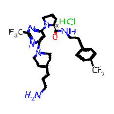 Cl.NCCCC1CCN(c2cc(N3CCC[C@H]3C(=O)NCCc3ccc(C(F)(F)F)cc3)nc(C(F)(F)F)n2)CC1